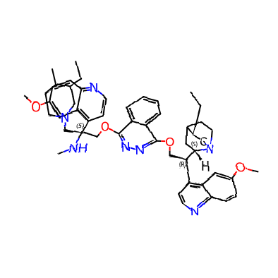 CCC1CN(C[C@@](COc2nnc(OC[C@H](c3ccnc4ccc(OC)cc34)[C@@H]3CC4CCN3CC4CC)c3ccccc23)(NC)c2ccnc3ccc(OC)cc23)CCC1C